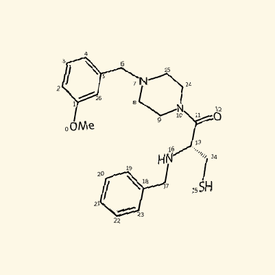 COc1cccc(CN2CCN(C(=O)[C@H](CS)NCc3ccccc3)CC2)c1